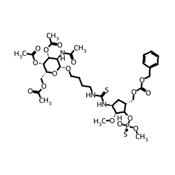 CO[C@H]1C(OP(O)(=S)OC)[C@@H](COC(=O)OCc2ccccc2)C[C@@H]1NC(=S)NCCCCO[C@@H]1O[C@H](COC(C)=O)[C@H](OC(C)=O)[C@H](OC(C)=O)[C@H]1NC(C)=O